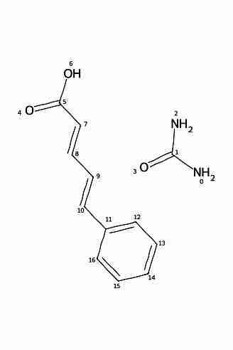 NC(N)=O.O=C(O)C=CC=Cc1ccccc1